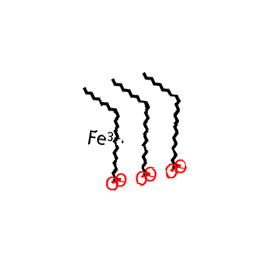 CCCCCCCC/C=C\CCCCCCCCCCCC(=O)[O-].CCCCCCCC/C=C\CCCCCCCCCCCC(=O)[O-].CCCCCCCC/C=C\CCCCCCCCCCCC(=O)[O-].[Fe+3]